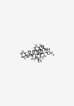 CC[C@H](c1ccc([C@H](C)Nc2ncc3ccc(=O)n(C(C)C)c3n2)cc1)N1CCN(C(=O)Oc2ccccc2)CC1